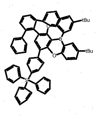 CC(C)(C)c1ccc2c(c1)B1c3cc(C(C)(C)C)ccc3Oc3c(-c4c(-c5ccccc5)cccc4-c4ccccc4)cc(-c4ccc([Si](c5ccccc5)(c5ccccc5)c5ccccc5)cc4)c(c31)O2